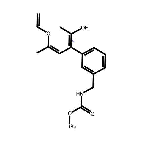 C=COC(C)=C/C(=C(\C)O)c1cccc(CNC(=O)OC(C)(C)C)c1